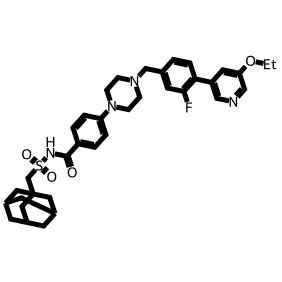 CCOc1cncc(-c2ccc(CN3CCN(c4ccc(C(=O)NS(=O)(=O)CC56CC7CC(CC(C7)C5)C6)cc4)CC3)cc2F)c1